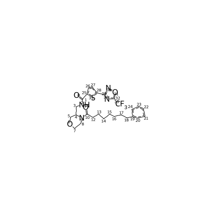 O=C(NCC1COCCN1C(=O)CCCCCCCc1ccccc1)c1ccc(-c2noc(C(F)(F)F)n2)s1